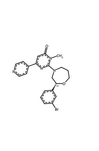 Cn1c(N2CCCO[C@@H](c3cccc(Br)c3)C2)nc(-c2ccncc2)cc1=O